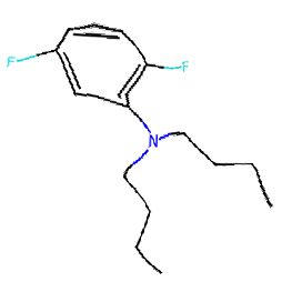 CCCCN(CCCC)c1cc(F)ccc1F